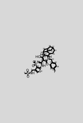 CS(=O)(=O)NCc1csc2c1S(=O)(=O)N=C(C1=C(O)[C@@H]3C4CC5CCC(CC(C5)C4)[C@@H]3N(Cc3ccc(F)cc3)C1=O)N2